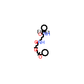 CCC12NC(CCCCNC(=O)CCC(C)(C)OCCC(C)(C)C(=O)C3CCCCCCCCC3)C(=O)C1(CC)C1CCCCCCC2C1